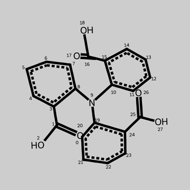 O=C(O)c1ccccc1N(c1ccccc1C(=O)O)c1ccccc1C(=O)O